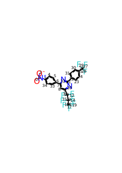 O=[N+]([O-])c1ccc(-c2cc(C(F)(F)C(F)(F)C(F)(F)F)nc(-c3ccc(C(F)(F)F)cc3)n2)cc1